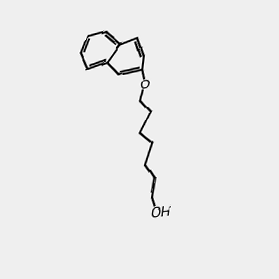 OCCCCCCCOc1ccc2ccccc2c1